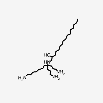 CCCCCCCCCCCCCCC(O)CNC(CCCN)(CCCN)CCCCCCCN